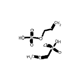 C=C=CS(=O)(=O)O.C=CCOS(=O)(=O)O